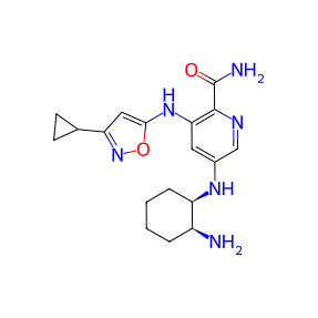 NC(=O)c1ncc(N[C@@H]2CCCC[C@@H]2N)cc1Nc1cc(C2CC2)no1